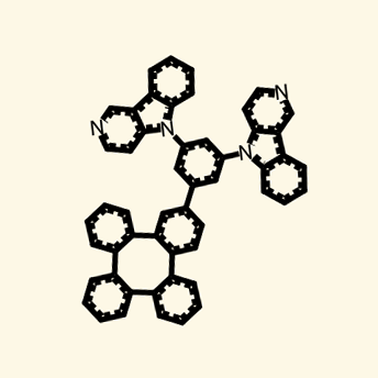 c1ccc2c(c1)-c1ccccc1-c1ccc(-c3cc(-n4c5ccccc5c5cnccc54)cc(-n4c5ccccc5c5cnccc54)c3)cc1-c1ccccc1-2